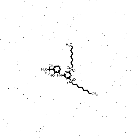 CCCCCCCCS(=O)(=O)c1nc(Nc2cccc(C(C)(C)C)c2O)nc(S(=O)(=O)CCCCCCCC)n1